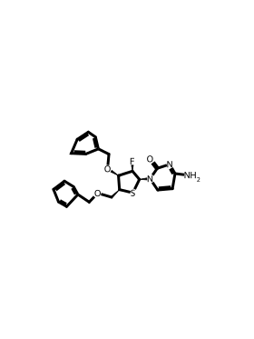 Nc1ccn([C@H]2S[C@@H](COCc3ccccc3)[C@@H](OCc3ccccc3)[C@H]2F)c(=O)n1